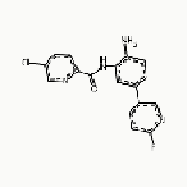 Nc1ccc(-c2ccc(F)nc2)cc1NC(=O)c1ccc(Cl)cn1